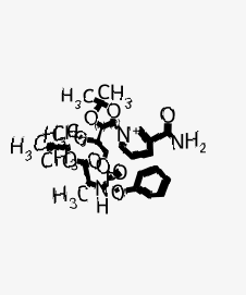 COC(COP(=O)(NC(C)C(=O)OCC(C)(C)C)Oc1ccccc1)[C@H]1OC(C)(C)O[C@H]1[n+]1cccc(C(N)=O)c1